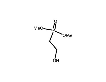 COP(=O)(CCO)OC